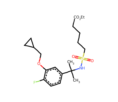 CCOC(=O)CCCCS(=O)(=O)NC(C)(C)c1ccc(F)c(OCC2CC2)c1